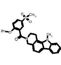 CC(C)Oc1ccc(S(C)(=O)=O)cc1C(=O)N1CCc2c(ccc3c4ccccc4n(C)c23)C1